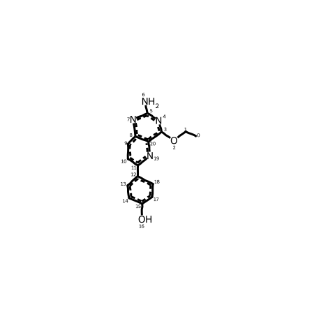 CCOc1nc(N)nc2ccc(-c3ccc(O)cc3)nc12